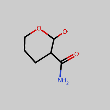 NC(=O)C1CCCOC1[O]